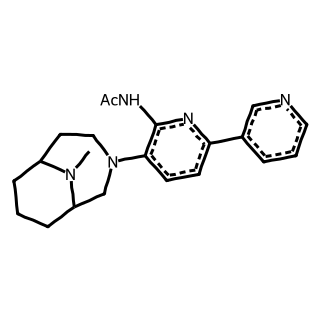 CC(=O)Nc1nc(-c2cccnc2)ccc1N1CCC2CCCC(C1)N2C